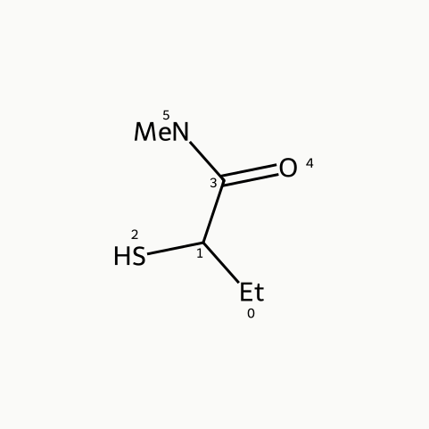 CCC(S)C(=O)NC